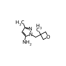 Cc1cc(N)n(CC2(C)COC2)n1